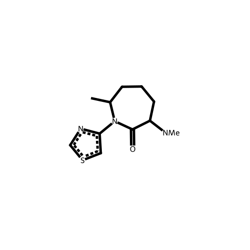 CNC1CCCC(C)N(c2cscn2)C1=O